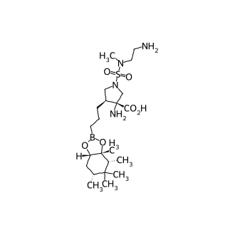 C[C@@H]1C[C@@H]2OB(CCC[C@H]3CN(S(=O)(=O)N(C)CCN)C[C@@]3(N)C(=O)O)O[C@]2(C)[C@H](C)C1(C)C